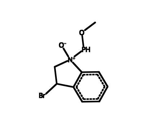 COP[N+]1([O-])CC(Br)c2ccccc21